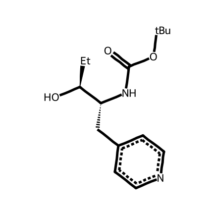 CC[C@H](O)[C@@H](Cc1ccncc1)NC(=O)OC(C)(C)C